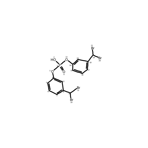 O=P(O)(Oc1cccc(C(Br)Br)c1)Oc1cccc(C(Br)Br)c1